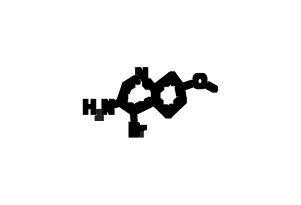 COc1ccc2c(Br)c(N)cnc2c1